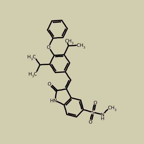 CNS(=O)(=O)c1ccc2c(c1)C(=Cc1cc(C(C)C)c(Oc3ccccc3)c(C(C)C)c1)C(=O)N2